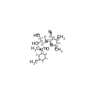 Cc1cccc(N(C)C(=O)[C@@H]2[C@H](O)[C@H](O)CN2c2nc(C)cc(C)c2C#N)c1